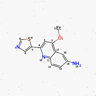 CCOc1cc(-c2cncs2)nc2ccc(N)cc12